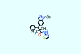 CCCCn1ncc2cc(C(c3ccccc3)C(C)(C)C(=O)Nc3nccs3)ccc21